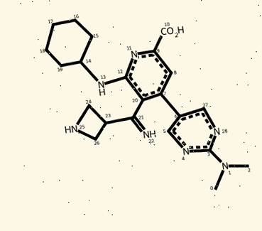 CN(C)c1ncc(-c2cc(C(=O)O)nc(NC3CCCCC3)c2C(=N)C2CNC2)cn1